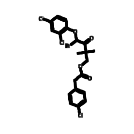 CC(C)(COC(=O)Cc1ccc(Cl)cc1)C(=O)C(Br)Oc1ccc(Cl)cc1Cl